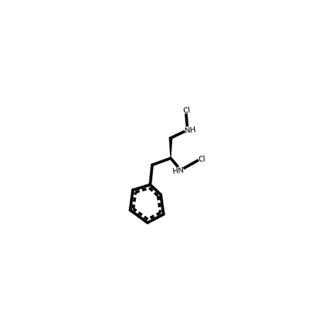 ClNC[C@H](Cc1ccccc1)NCl